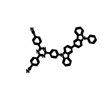 N#Cc1ccc(-c2nc(-c3ccc(C#N)cc3)nc(-c3ccc(-n4c5ccccc5c5cc(-c6ccc7c(c6)c6ccccc6n7-c6ccccc6)ccc54)cc3)n2)cc1